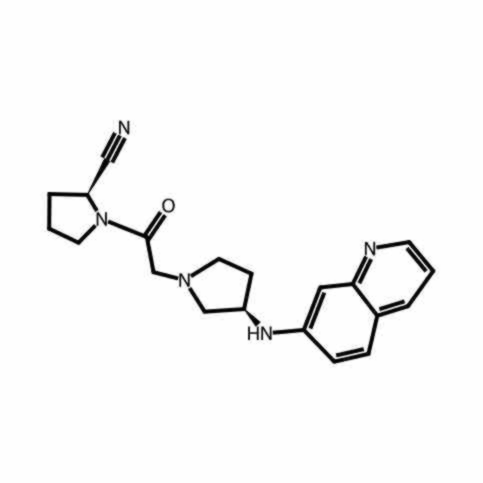 N#C[C@@H]1CCCN1C(=O)CN1CC[C@@H](Nc2ccc3cccnc3c2)C1